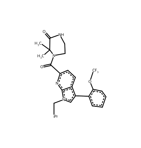 CC(C)Cn1cc(-c2ccccc2OC(F)(F)F)c2ccc(C(=O)N3CCNC(=O)C3(C)C)nc21